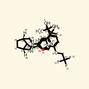 CC(C)(O)c1ccc(OCC(F)(F)F)n2nc(N[C@@H]3[C@@H]4CC[C@H]3CN(c3ccnc(C(F)(F)F)c3)C4)nc12